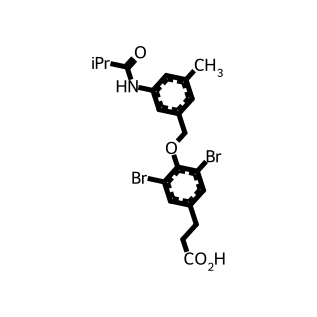 Cc1cc(COc2c(Br)cc(CCC(=O)O)cc2Br)cc(NC(=O)C(C)C)c1